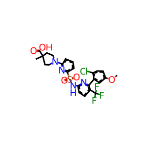 COc1ccc(Cl)c(-c2nc(NS(=O)(=O)c3cccc(N4CCC(C)(C(=O)O)CC4)n3)ccc2C(F)(F)F)c1